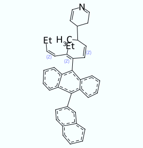 CC\C=C/C(CC)=C(/C=C\C(C)C1C=CN=CC1)c1c2ccccc2c(-c2ccc3ccccc3c2)c2ccccc12